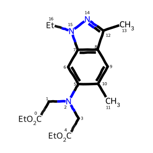 CCOC(=O)CN(CC(=O)OCC)c1cc2c(cc1C)c(C)nn2CC